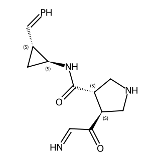 N=CC(=O)[C@@H]1CNC[C@H]1C(=O)N[C@H]1C[C@@H]1C=P